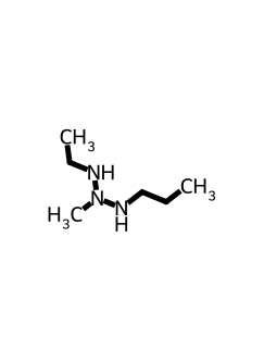 CCCNN(C)NCC